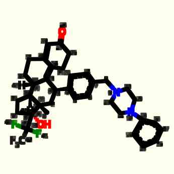 C[C@]12C[C@H](c3ccc(CN4CCN(c5ccccc5)CC4)cc3)C3=C4CCC(=O)C=C4CC[C@H]3[C@@H]1CC[C@]2(O)C(F)(F)C(F)(F)F